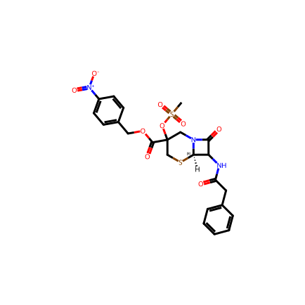 CS(=O)(=O)OC1(C(=O)OCc2ccc([N+](=O)[O-])cc2)CS[C@@H]2C(NC(=O)Cc3ccccc3)C(=O)N2C1